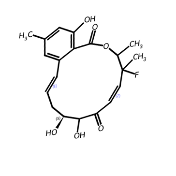 Cc1cc(O)c2c(c1)/C=C/C[C@H](O)C(O)C(=O)/C=C\C(C)(F)C(C)OC2=O